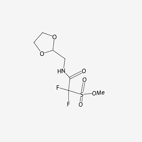 COS(=O)(=O)C(F)(F)C(=O)NCC1OCCO1